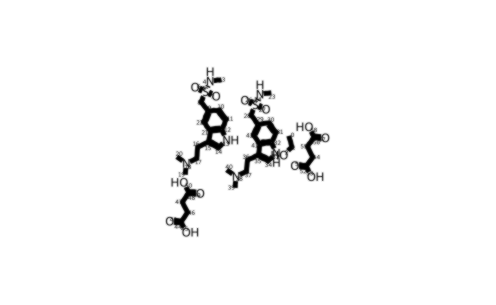 CCO.CNS(=O)(=O)Cc1ccc2[nH]cc(CCN(C)C)c2c1.CNS(=O)(=O)Cc1ccc2[nH]cc(CCN(C)C)c2c1.O=C(O)CCC(=O)O.O=C(O)CCC(=O)O